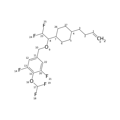 C=CCCC1CCC(C(OCc2cc(F)c(OC(F)F)c(F)c2)C(F)F)CC1